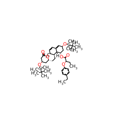 CCc1ccc(OC(CC)C(=O)O[C@H]2C[C@H](O[Si](C)(C)C(C)(C)C)C=C3C=C[C@H](C)[C@H](CC[C@@H]4C[C@@H](O[Si](C)(C)C(C)(C)C)CC(=O)O4)[C@H]32)cc1